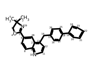 CC1(C)COC(c2ccc3nccc(Cc4ccc(-c5ccccc5)cc4)c3c2)=N1